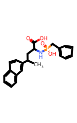 CC(CC(NP(=O)(O)Cc1ccccc1)C(=O)O)c1ccc2ccccc2c1